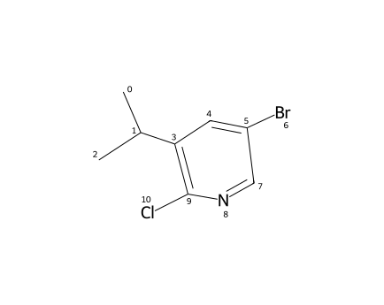 CC(C)c1cc(Br)cnc1Cl